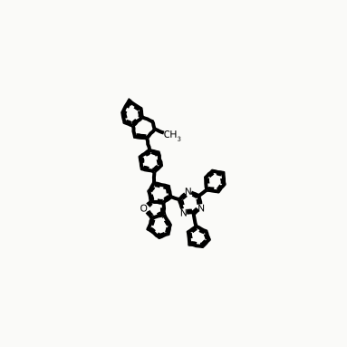 CC1Cc2ccccc2C=C1c1ccc(-c2cc(-c3nc(-c4ccccc4)nc(-c4ccccc4)n3)c3c(c2)oc2ccccc23)cc1